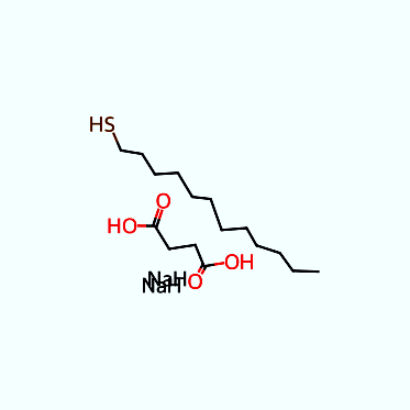 CCCCCCCCCCCCS.O=C(O)CCC(=O)O.[NaH].[NaH]